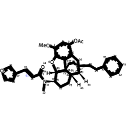 COc1cc(OC(C)=O)c2c3c1O[C@H]1[C@H](N(C)C(=O)/C=C/c4ccoc4)CC[C@H]4[C@@H](C2)N(CCc2ccccc2)CC[C@@]341